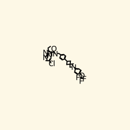 CCc1nc2ncc(Cl)cn2c1C(=O)NCc1ccc(C2CC3(C2)CN(c2ccc(OC(F)(F)F)cc2)C3)cc1